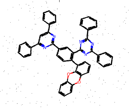 c1ccc(-c2cc(-c3ccccc3)nc(-c3ccc(-c4cccc5c4Oc4ccccc4O5)c(-c4nc(-c5ccccc5)nc(-c5ccccc5)n4)c3)n2)cc1